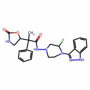 CC(C(=O)NN1CCN(c2n[nH]c3ccccc23)C(F)C1)(c1ccccc1)C1CNC(=O)O1